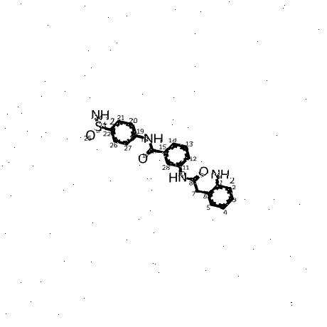 Nc1ccccc1CC(=O)Nc1cccc(C(=O)Nc2ccc([S+](N)[O-])cc2)c1